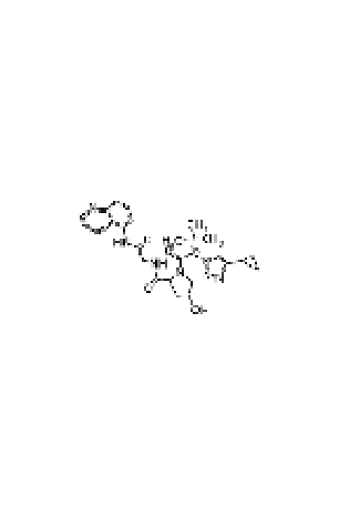 CC(C)(C)[C@@H](C(=O)N1CC(O)CC1C(=O)NCC(=O)Nc1cccc2ncccc12)n1cc(C2CC2)nn1